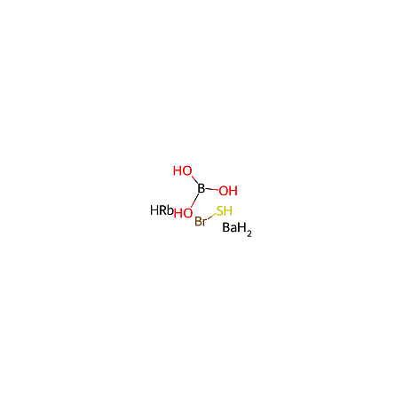 OB(O)O.SBr.[BaH2].[RbH]